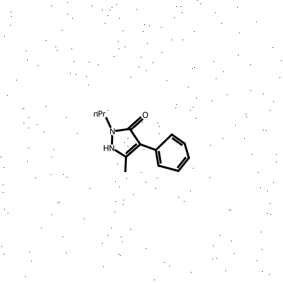 CCCn1[nH]c(C)c(-c2ccccc2)c1=O